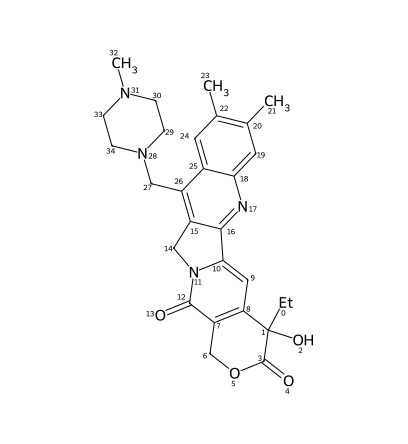 CCC1(O)C(=O)OCc2c1cc1n(c2=O)Cc2c-1nc1cc(C)c(C)cc1c2CN1CCN(C)CC1